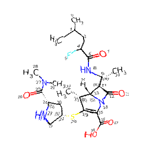 CC(C)CC(F)C(=O)N[C@H](C)[C@H]1C(=O)N2C(C(=O)O)=C(S[C@@H]3CN[C@H](C(=O)N(C)C)C3)[C@H](C)[C@H]12